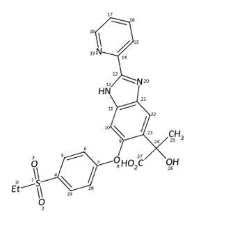 CCS(=O)(=O)c1ccc(Oc2cc3[nH]c(-c4ccccn4)nc3cc2C(C)(O)C(=O)O)cc1